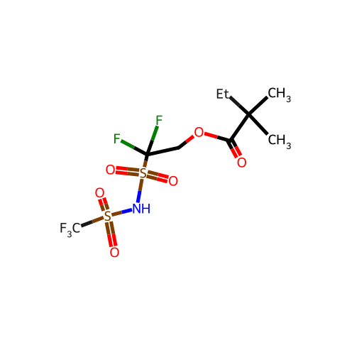 CCC(C)(C)C(=O)OCC(F)(F)S(=O)(=O)NS(=O)(=O)C(F)(F)F